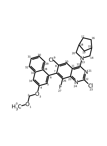 COCOc1cc(-c2c(Cl)cc3c(N4CC5CCC(C5)C4)nc(Cl)nc3c2F)c2ccccc2c1